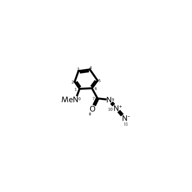 CNc1ccccc1C(=O)N=[N+]=[N-]